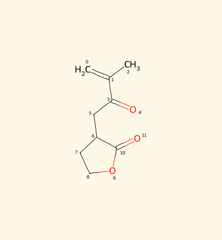 C=C(C)C(=O)CC1CCOC1=O